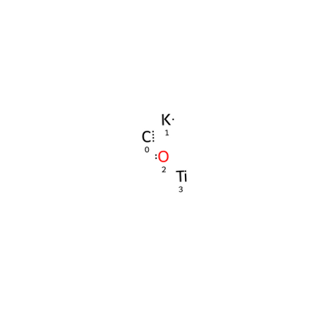 [C].[K].[O].[Ti]